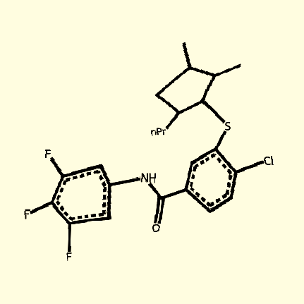 CCCC1CC(C)C(C)C1Sc1cc(C(=O)Nc2cc(F)c(F)c(F)c2)ccc1Cl